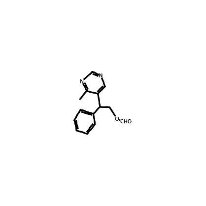 Cc1ncncc1C(COC=O)c1ccccc1